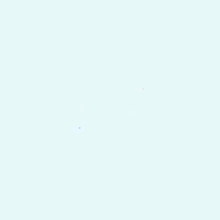 NC(=O)CCC(O)CO